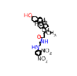 C[C@H](CCC(=O)NCCNc1ccc([N+](=O)[O-])cc1[N+](=O)[O-])C1CC[C@H]2[C@@H]3CC=C4CC(O)CC[C@]4(C)[C@H]3CC[C@]12C